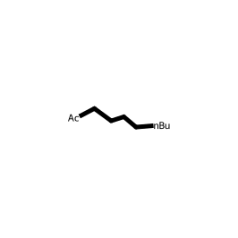 [CH2]C(=O)CCCCCCCC